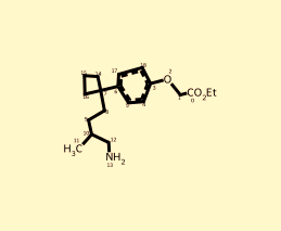 CCOC(=O)COc1ccc(C2(CCC(C)CN)CCC2)cc1